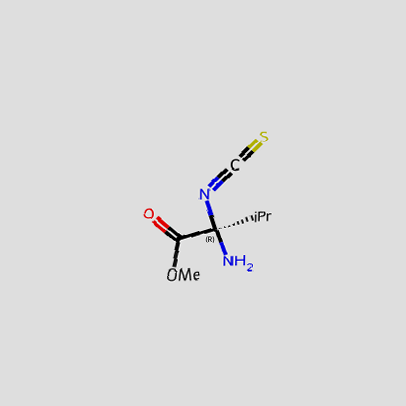 COC(=O)[C@](N)(N=C=S)C(C)C